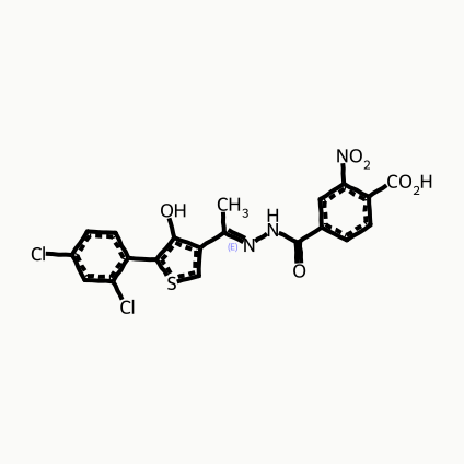 C/C(=N\NC(=O)c1ccc(C(=O)O)c([N+](=O)[O-])c1)c1csc(-c2ccc(Cl)cc2Cl)c1O